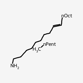 CCCCCC.CCCCCCCCC=CCCCCCCCCN